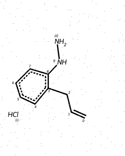 C=CCc1ccccc1NN.Cl